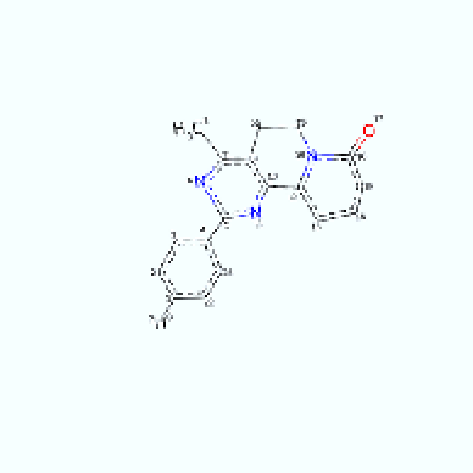 [2H]c1ccc(-c2nc(C)c3c(n2)-c2cccc(=O)n2CC3)cc1